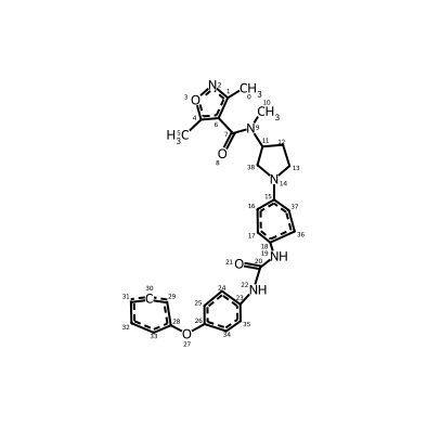 Cc1noc(C)c1C(=O)N(C)C1CCN(c2ccc(NC(=O)Nc3ccc(Oc4ccccc4)cc3)cc2)C1